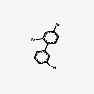 N#Cc1cccc(-c2ccc(Br)cc2Br)c1